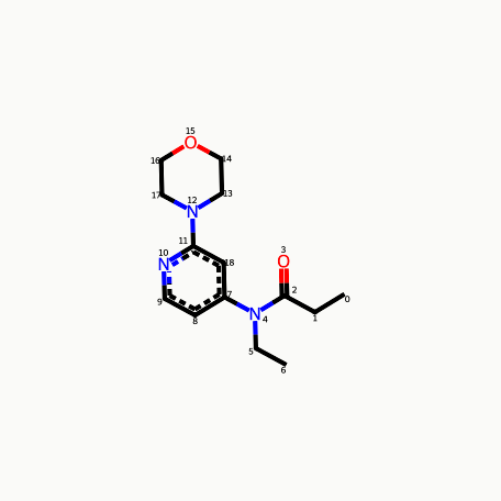 CCC(=O)N(CC)c1ccnc(N2CCOCC2)c1